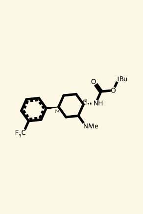 CNC1C[C@@H](c2cccc(C(F)(F)F)c2)CC[C@@H]1NC(=O)OC(C)(C)C